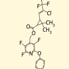 CC1(C)C(/C=C(\Cl)C(F)(F)F)C1C(=O)OCc1c(F)c(F)nc(Oc2ccccc2)c1F